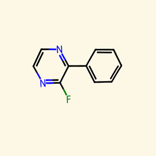 Fc1nccnc1-c1ccccc1